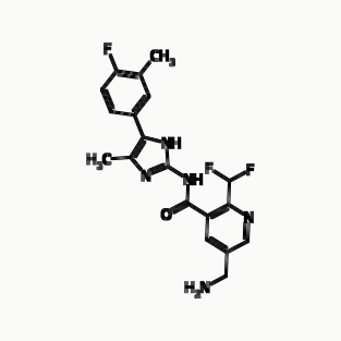 Cc1cc(-c2[nH]c(NC(=O)c3cc(CN)cnc3C(F)F)nc2C)ccc1F